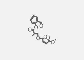 COC(=O)/C=C\C(=O)OCC(C)C(=O)Oc1ccccc1C=O